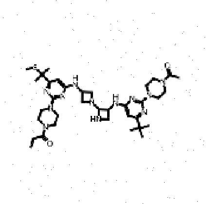 CCC(=O)N1CCN(c2nc(NC3CN(C4NCC4Nc4cc(C(C)(C)C)nc(N5CCN(C(C)=O)CC5)n4)C3)cc(C(C)(C)SC)n2)CC1